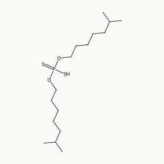 CC(C)CCCCCOP(=S)(S)OCCCCCC(C)C